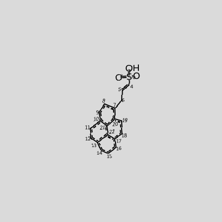 O=S(=O)(O)C=CCc1ccc2ccc3cccc4ccc1c2c34